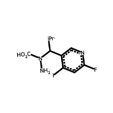 C[C](C)C(c1cnc(F)cc1I)N(N)C(=O)O